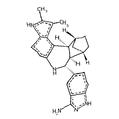 Cc1[nH]c2ccc3c(c2c1C)[C@H]1[C@@H]2CC[C@@H](C2)[C@H]1[C@H](c1ccc2[nH]nc(N)c2c1)N3